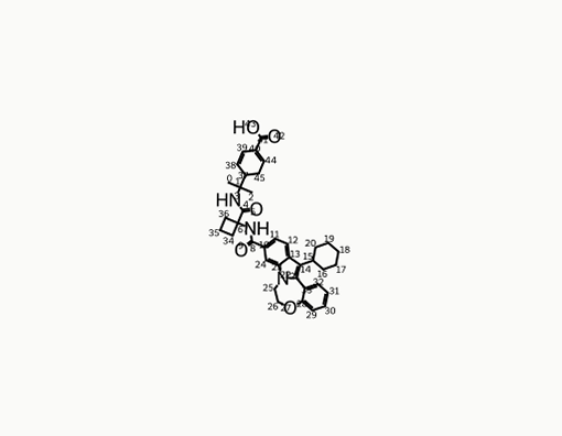 CC(C)(NC(=O)C1(NC(=O)c2ccc3c(C4CCCCC4)c4n(c3c2)CCOc2ccccc2-4)CCC1)C1C=CC(C(=O)O)=CC1